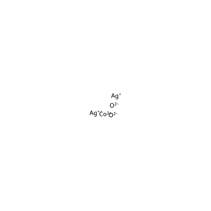 [Ag+].[Ag+].[Co+2].[O-2].[O-2]